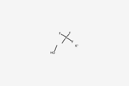 CO.C[B-](F)(F)F.[K+]